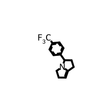 FC(F)(F)c1ccc(C2CCC3=CCCN32)cc1